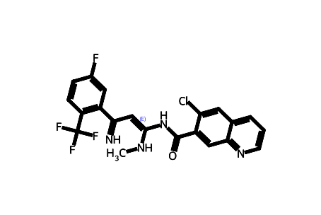 CN/C(=C\C(=N)c1cc(F)ccc1C(F)(F)F)NC(=O)c1cc2ncccc2cc1Cl